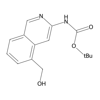 CC(C)(C)OC(=O)Nc1cc2c(CO)cccc2cn1